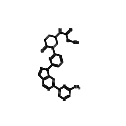 Cc1cncc(-c2cc3c(cn2)cnn3-c2cccc(N3CC(NC(=O)OC(C)(C)C)CCC3=O)n2)n1